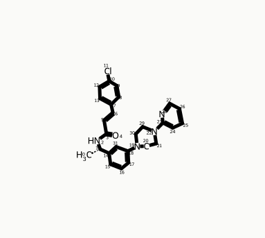 C[C@H](NC(=O)C=Cc1ccc(Cl)cc1)c1cccc(N2CCN(c3ccccn3)CC2)c1